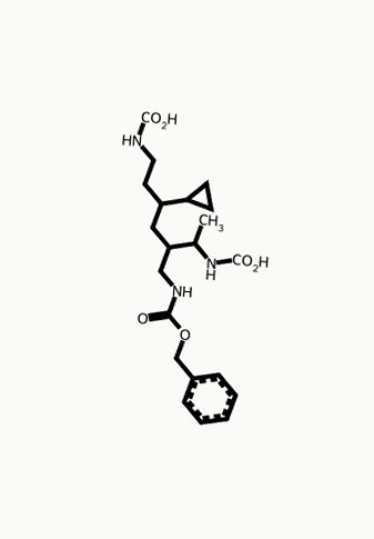 CC(NC(=O)O)C(CNC(=O)OCc1ccccc1)CC(CCNC(=O)O)C1CC1